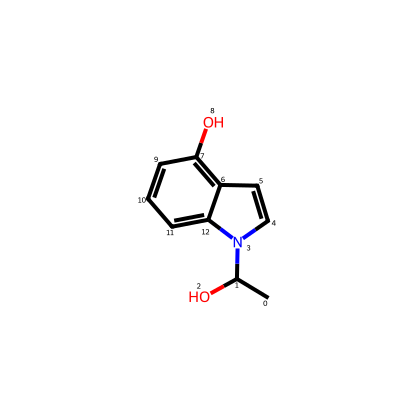 CC(O)n1ccc2c(O)cccc21